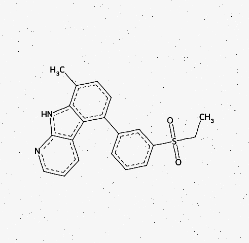 CCS(=O)(=O)c1cccc(-c2ccc(C)c3[nH]c4ncccc4c23)c1